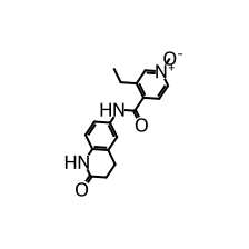 CCc1c[n+]([O-])ccc1C(=O)Nc1ccc2c(c1)CCC(=O)N2